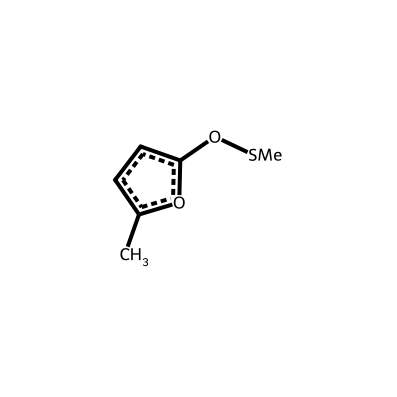 CSOc1ccc(C)o1